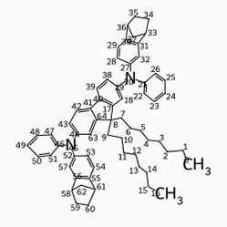 CCCCCCCCC1(CCCCCCCC)c2cc(N(c3ccccc3)c3ccc4c(c3)C3CCC4C3)ccc2-c2ccc(N(c3ccccc3)c3ccc4c(c3)C3CCC4C3)cc21